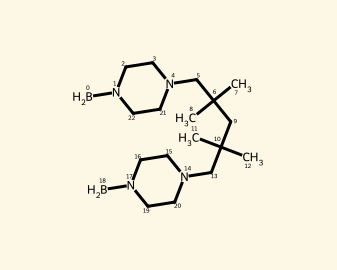 BN1CCN(CC(C)(C)CC(C)(C)CN2CCN(B)CC2)CC1